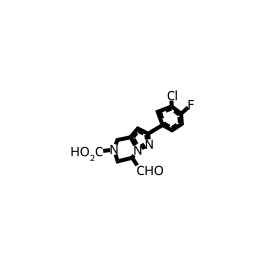 O=CC1CN(C(=O)O)Cc2cc(-c3ccc(F)c(Cl)c3)nn21